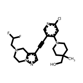 CC1(CO)CCN(c2cc(Cl)ncc2C#Cc2cnn3c2CN(CC(F)F)CC3)CC1